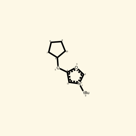 CC(C)(C)[n+]1coc(OC2CCCC2)c1